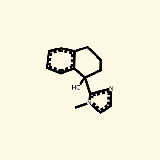 Cn1ccnc1C1(O)CCCc2ccccc21